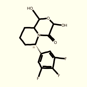 O=C1C(O)OC(O)C2CCC[C@@H](c3cc(F)c(F)c(F)c3)N12